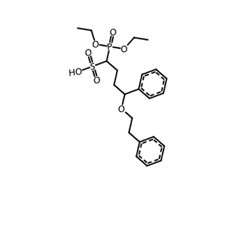 CCOP(=O)(OCC)C(CCC(OCCc1ccccc1)c1ccccc1)S(=O)(=O)O